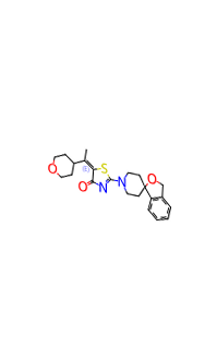 C/C(=C1\SC(N2CCC3(CC2)OCc2ccccc23)=NC1=O)C1CCOCC1